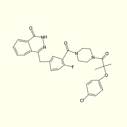 CC(C)(Oc1ccc(Cl)cc1)C(=O)N1CCN(C(=O)c2cc(Cc3n[nH]c(=O)c4ccccc34)ccc2F)CC1